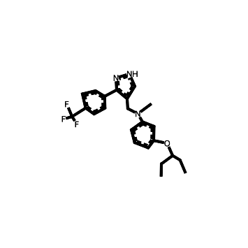 CCC(CC)Oc1cccc(N(C)Cc2c[nH]nc2-c2ccc(C(F)(F)F)cc2)c1